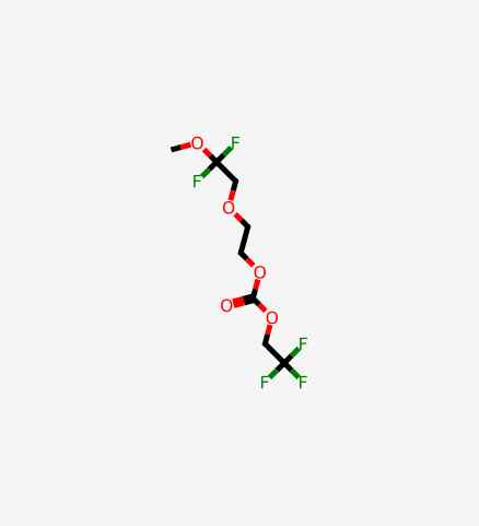 COC(F)(F)COCCOC(=O)OCC(F)(F)F